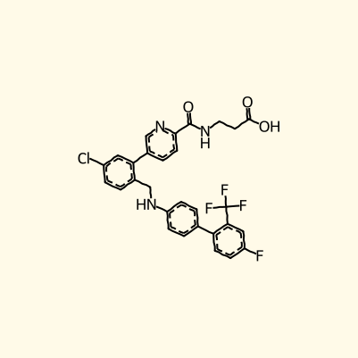 O=C(O)CCNC(=O)c1ccc(-c2cc(Cl)ccc2CNc2ccc(-c3ccc(F)cc3C(F)(F)F)cc2)cn1